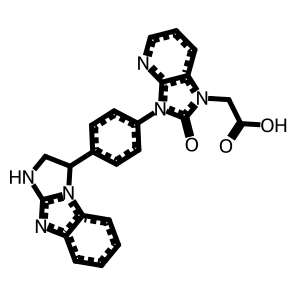 O=C(O)Cn1c(=O)n(-c2ccc(C3CNc4nc5ccccc5n43)cc2)c2ncccc21